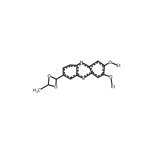 CCOc1cc2nc3ccc(C4OC(C)O4)cc3nc2cc1OCC